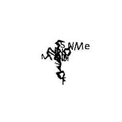 CNc1ccc(OC)c(-n2c(NSCCc3ccc(F)cc3)nnc2-c2cccs2)c1